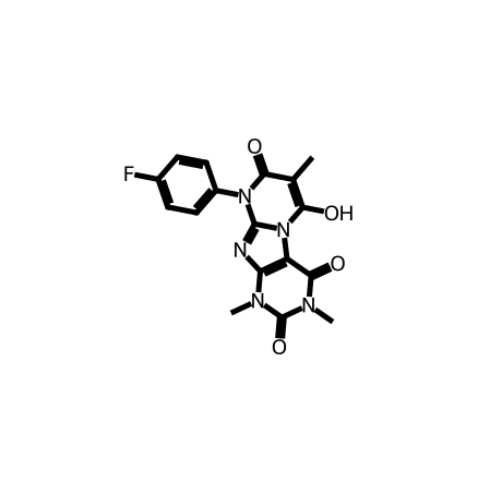 Cc1c(O)n2c3c(=O)n(C)c(=O)n(C)c3nc2n(-c2ccc(F)cc2)c1=O